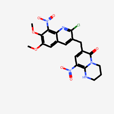 COc1cc2cc(Cc3cc([N+](=O)[O-])c4n(c3=O)CCCN4)c(Cl)nc2c([N+](=O)[O-])c1OC